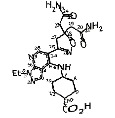 CCn1ncc2c(NC3CCC(C(=O)O)CC3)c(C3=NOC(CC(N)=O)(CC(N)=O)C3)cnc21